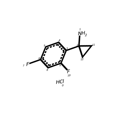 Cl.NC1(c2ccc(F)cc2F)CC1